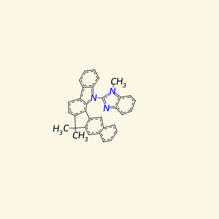 Cn1c(-n2c3ccccc3c3ccc4c(c32)-c2cc3ccccc3cc2C4(C)C)nc2ccccc21